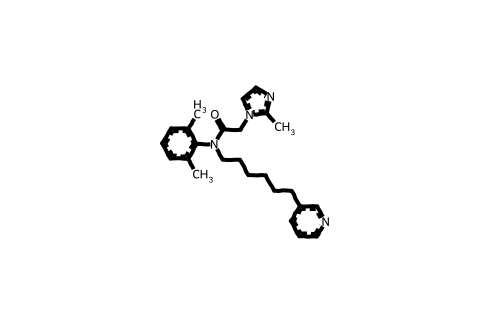 Cc1cccc(C)c1N(CCCCCCc1cccnc1)C(=O)Cn1ccnc1C